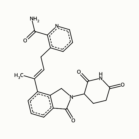 CC(=CCc1cccnc1C(N)=O)c1cccc2c1CN(C1CCC(=O)NC1=O)C2=O